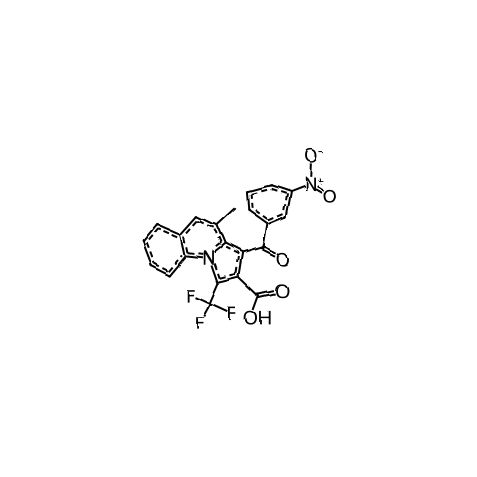 Cc1cc2ccccc2n2c(C(F)(F)F)c(C(=O)O)c(C(=O)c3cccc([N+](=O)[O-])c3)c12